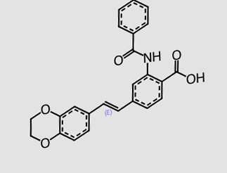 O=C(Nc1cc(/C=C/c2ccc3c(c2)OCCO3)ccc1C(=O)O)c1ccccc1